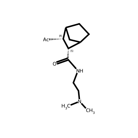 CC(=O)[C@@H]1C2CCC(C2)[C@@H]1C(=O)NCCN(C)C